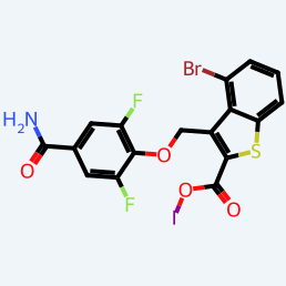 NC(=O)c1cc(F)c(OCc2c(C(=O)OI)sc3cccc(Br)c23)c(F)c1